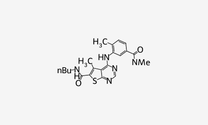 CCCCNC(=O)c1sc2ncnc(Nc3cc(C(=O)NC)ccc3C)c2c1C